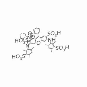 Cc1cc(C)c(S(=O)(=O)O)c(C)c1/N=c1\cc2oc3cc(Nc4c(C)cc(C)c(S(=O)(=O)O)c4C)c(S(=O)(=O)O)cc3c(-c3ccccc3S(=O)(=O)NC3CCCCC3C)c-2cc1S(=O)(=O)O